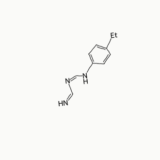 CCc1ccc(N/C=N\C=N)cc1